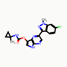 Cn1nc(-c2cnc3[nH]cc(OC(=O)NC4(C)CC4)c3n2)c2ccc(Cl)cc21